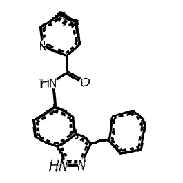 O=C(Nc1ccc2[nH]nc(-c3ccccc3)c2c1)c1ccccn1